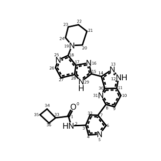 O=C(Nc1cncc(-c2ccc3[nH]nc(-c4nc5c(N6CCCCC6)nccc5[nH]4)c3n2)c1)C1CCC1